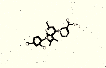 Cc1cc(N2CCC=C(C(N)=O)C2)c2c(C)c(C)n(-c3ccc(Cl)cc3Cl)c2n1